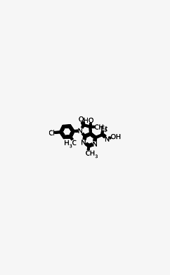 CC/C(=N\O)c1nc(C)nc2c1C(C)(O)C(=O)N2c1ccc(Cl)cc1C